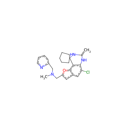 C=C1Nc2c(Cl)cc3cc(CN(C)Cc4ccccn4)oc3c2C2(CCCCC2)N1